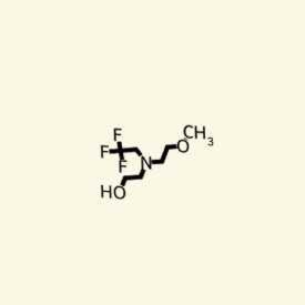 COCCN(CCO)CC(F)(F)F